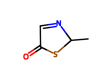 CC1N=CC(=O)S1